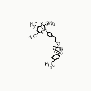 CSc1nc2c(C)cc(C)nc2n1-c1ccc(CCOC(=O)NS(=O)(=O)c2ccc(C)cc2)cc1